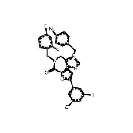 N#Cc1ccc(Cn2cnnc2CN(Cc2ccc(F)cc2F)C(=O)c2ccc(-c3cc(Cl)cc(Cl)c3)o2)cc1